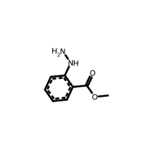 COC(=O)c1ccccc1NN